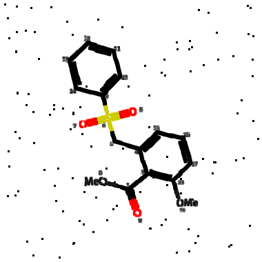 COC(=O)c1c(CS(=O)(=O)c2ccccc2)cccc1OC